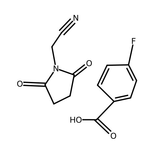 N#CCN1C(=O)CCC1=O.O=C(O)c1ccc(F)cc1